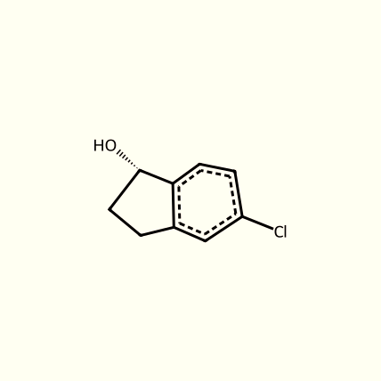 O[C@H]1CCc2cc(Cl)ccc21